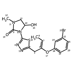 CC=C(Cc1nnc(N2C(=O)N(C)CC2O)s1)Oc1cccc(Br)c1